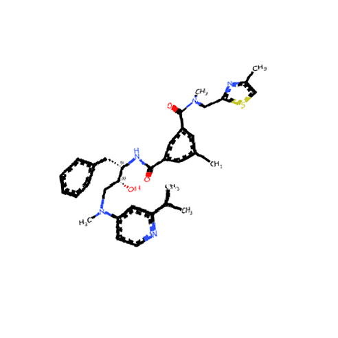 Cc1cc(C(=O)N[C@@H](Cc2ccccc2)[C@H](O)CN(C)c2ccnc(C(C)C)c2)cc(C(=O)N(C)Cc2nc(C)cs2)c1